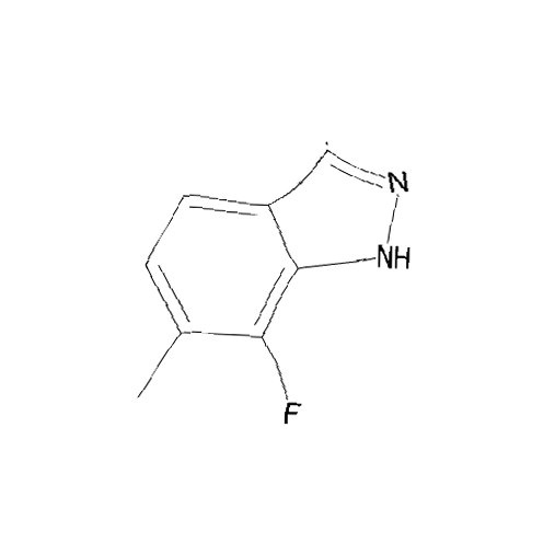 Cc1ccc2[c]n[nH]c2c1F